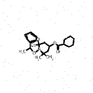 CCC1(CC)CC(OC(=O)C2CCCCC2)CC(C)(C)N1OC(C)c1ccccc1